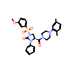 COc1cccc(S(=O)(=O)N2C[C@@H](C(=O)N3CCN(c4cc(C)ccc4C)CC3)N(c3ccccc3)C2=O)c1